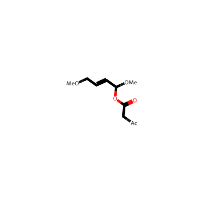 COCC=CC(OC)OC(=O)CC(C)=O